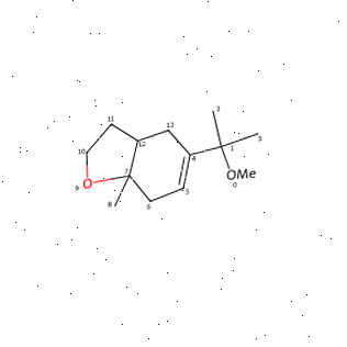 COC(C)(C)C1=CCC2(C)OCCC2C1